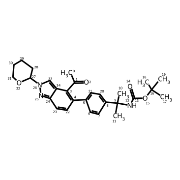 CC(=O)c1c(-c2ccc(C(C)(C)NC(=O)OC(C)(C)C)cc2)ccc2nn(C3CCCCO3)cc12